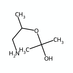 CC(CN)OC(C)(C)O